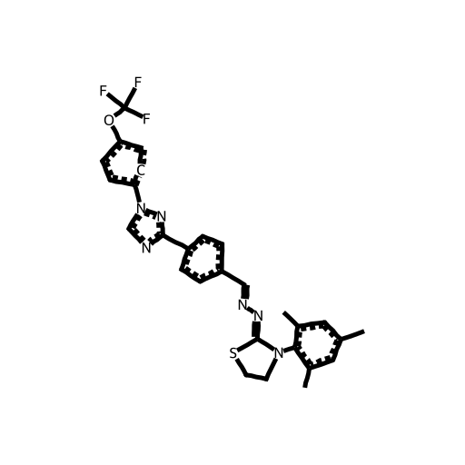 Cc1cc(C)c(N2CCS/C2=N\N=C\c2ccc(-c3ncn(-c4ccc(OC(F)(F)F)cc4)n3)cc2)c(C)c1